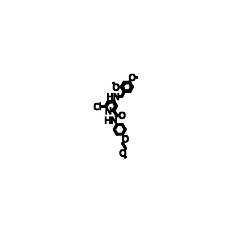 COCCO[C@H]1CC[C@H](NC(=O)c2cc(NCc3ccc(OC)cc3OC)cc(Cl)n2)CC1